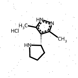 Cc1n[nH]c(C)c1[C@@H]1CCCN1.Cl